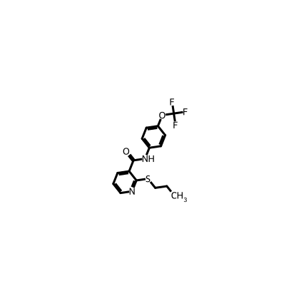 CCCSc1ncccc1C(=O)Nc1ccc(OC(F)(F)F)cc1